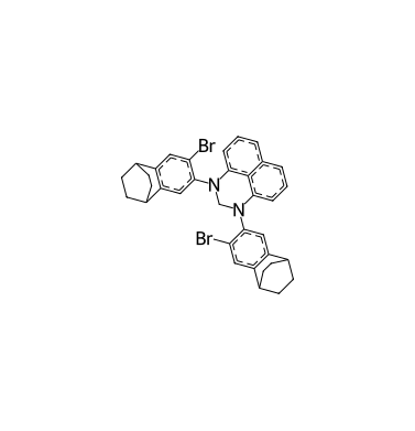 Brc1cc2c(cc1N1CN(c3cc4c(cc3Br)C3CCC4CC3)c3cccc4cccc1c34)C1CCC2CC1